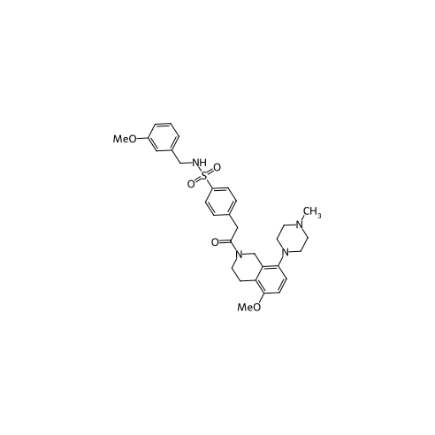 COc1cccc(CNS(=O)(=O)c2ccc(CC(=O)N3CCc4c(OC)ccc(N5CCN(C)CC5)c4C3)cc2)c1